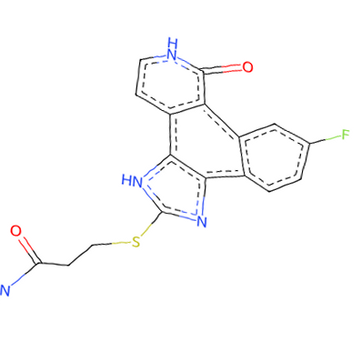 NC(=O)CCSc1nc2c3ccc(F)cc3c3c(=O)[nH]ccc3c2[nH]1